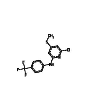 CSc1cc(Cl)nc(Nc2ccc(C(F)(F)F)cc2)c1